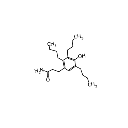 CCCCc1cc(CCC(N)=O)c(CCCC)c(CCCC)c1O